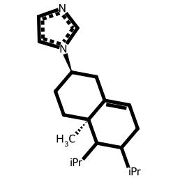 CC(C)C1CC=C2C[C@H](n3ccnc3)CC[C@]2(C)C1C(C)C